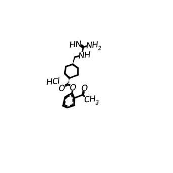 CC(=O)c1ccccc1OC(=O)[C@H]1CC[C@H](CNC(=N)N)CC1.Cl